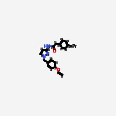 C=COc1ccc(Cn2ccc(NC(=O)Cc3ccc(C(C)C)cc3)n2)cc1